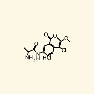 COc1oc(=O)c2cc(NC(=O)C(C)N)ccc2c1Cl.Cl